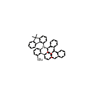 CC(C)(C)c1cccc(N(c2cccc3c2-c2ccccc2C3(C)C)c2cc3ccc4ccccc4c3c3ccccc23)c1-c1ccccc1